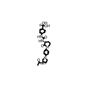 CC(=O)N[C@@H]1CCN(c2ccc(N3CCC[C@@H](NC(=O)Nc4ccc(C(O)(O)F)cc4)C3=O)cc2)C1